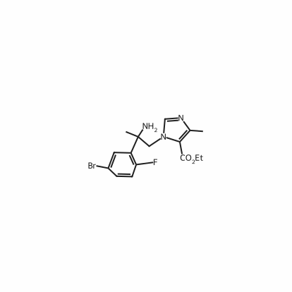 CCOC(=O)c1c(C)ncn1CC(C)(N)c1cc(Br)ccc1F